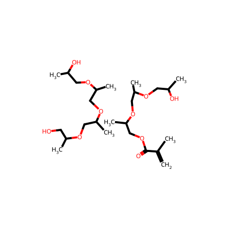 C=C(C)C(=O)OCC(C)OCC(C)OCC(C)O.CC(O)COC(C)COC(C)COC(C)CO